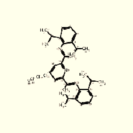 CC(=Nc1c(C(C)C)cccc1C(C)C)c1cccc(C(C)=Nc2c(C(C)C)cccc2C(C)C)n1.[Cl-].[Cl-].[Cl-].[V+3]